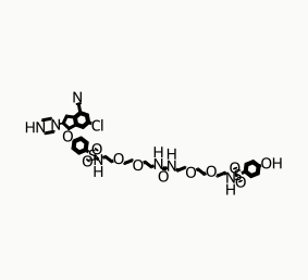 N#Cc1cc(Cl)cc2c1C[C@H](N1CCNCC1)[C@H]2Oc1ccc(S(=O)(=O)NCCOCCOCCNC(=O)NCCOCCOCCNS(=O)(=O)c2ccc(O)cc2)cc1